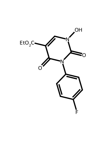 CCOC(=O)c1cn(O)c(=O)n(-c2ccc(F)cc2)c1=O